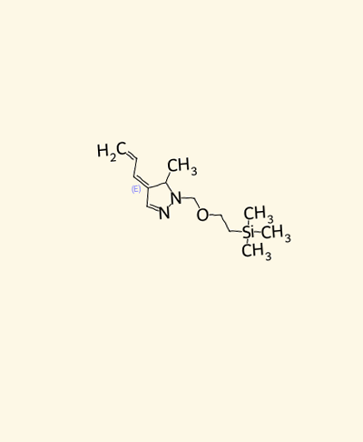 C=C/C=C1/C=NN(COCC[Si](C)(C)C)C1C